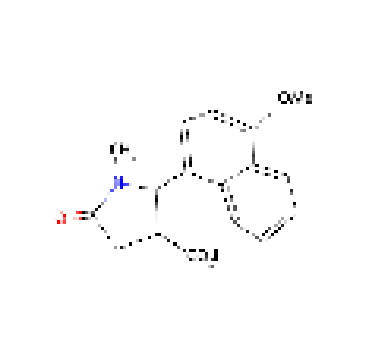 COc1ccc(C2C(C(=O)O)CC(=O)N2C)c2ccccc12